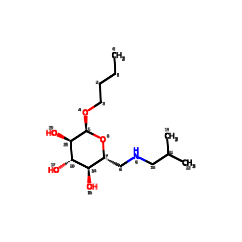 CCCCO[C@H]1O[C@H](CNCC(C)C)[C@@H](O)[C@H](O)[C@H]1O